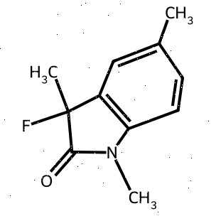 Cc1ccc2c(c1)C(C)(F)C(=O)N2C